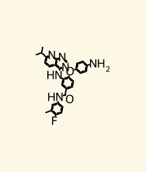 Cc1cc(NC(=O)c2ccc(Oc3ccc(N)cc3)c(Nc3ncnc4nc(C(C)C)ccc34)c2)ccc1F